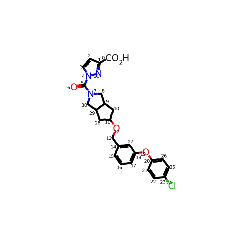 O=C(O)c1ccn(C(=O)N2CC3CC(OCc4cccc(Oc5ccc(Cl)cc5)c4)CC3C2)n1